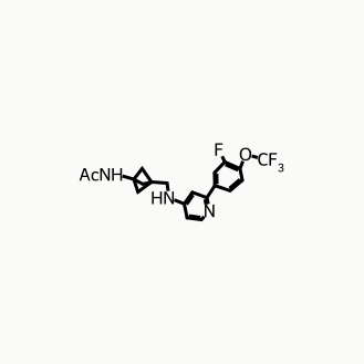 CC(=O)NC12CC(CNc3ccnc(-c4ccc(OC(F)(F)F)c(F)c4)c3)(C1)C2